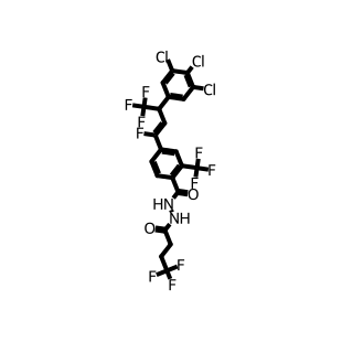 O=C(CCC(F)(F)F)NNC(=O)c1ccc(C(F)=CC(c2cc(Cl)c(Cl)c(Cl)c2)C(F)(F)F)cc1C(F)(F)F